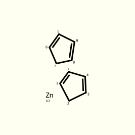 C1=CCC=C1.C1=CCC=C1.[Zn]